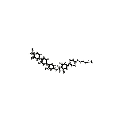 CCCCCc1ccc(-c2cc(F)c(C(F)(F)Oc3ccc(-c4ccc(-c5ccc(C(F)F)c(F)c5)c(F)c4)c(F)c3)c(F)c2)cc1